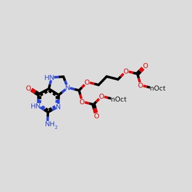 CCCCCCCCOC(=O)OCCCOC(OC(=O)OCCCCCCCC)N1CNc2c1nc(N)[nH]c2=O